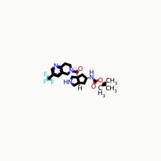 CC(C)(C)OC(=O)N[C@@H]1C[C@H]2CNC[C@@]2(C(=O)N2CCc3ncc(C(F)(F)F)cc3C2)C1